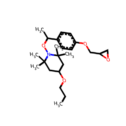 CCCOC1CC(C)(C)N(OC(C)c2ccc(OCC3CO3)cc2)C(C)(C)C1